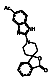 CC(=O)c1ccc2[nH]c(N3CCC4(CC3)OC(=O)c3ccccc34)nc2c1